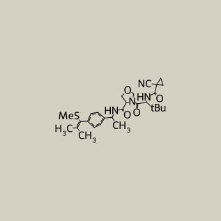 CSC(=C(C)C)c1ccc(C(C)NC(=O)C2COCN2C(=O)C(NC(=O)C2(C#N)CC2)C(C)(C)C)cc1